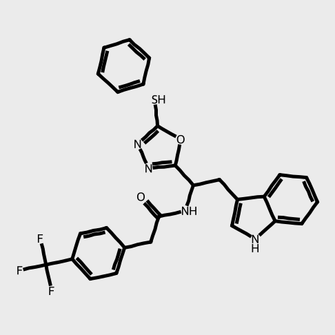 O=C(Cc1ccc(C(F)(F)F)cc1)NC(Cc1c[nH]c2ccccc12)c1nnc(S)o1.c1ccccc1